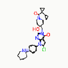 O=C(N1CCC(O)(Cn2cnc3c(cc(Cl)n3-c3ccc(C4CCCCCN4)cc3)c2=O)CC1)C1(C2CC2)CC1